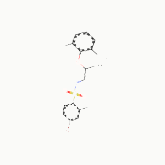 Cc1cc(Br)ccc1S(=O)(=O)NCC(C)Oc1c(C)cccc1C